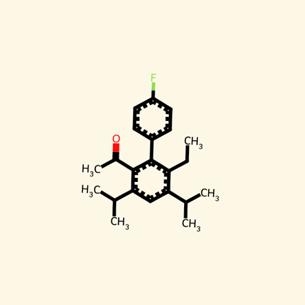 CCc1c(C(C)C)cc(C(C)C)c(C(C)=O)c1-c1ccc(F)cc1